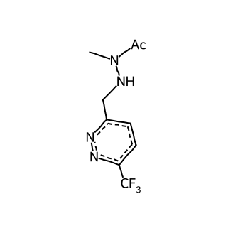 CC(=O)N(C)NCc1ccc(C(F)(F)F)nn1